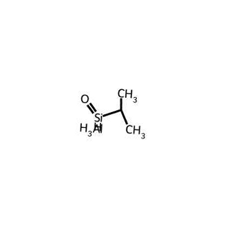 CC(C)[SiH]=O.[AlH3]